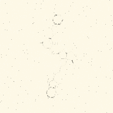 O=C([O-])CC(NC(=O)C[N+]1(CCCNc2nc3cccnc3[nH]2)C(=O)CNC1=O)NC(=O)OCc1ccccc1